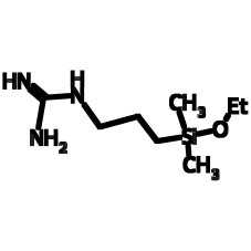 CCO[Si](C)(C)CCCNC(=N)N